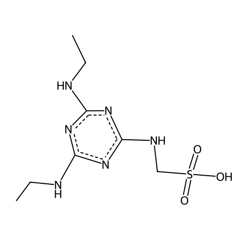 CCNc1nc(NCC)nc(NCS(=O)(=O)O)n1